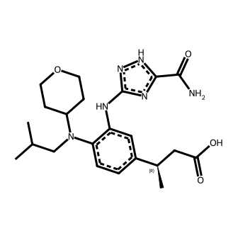 CC(C)CN(c1ccc([C@H](C)CC(=O)O)cc1Nc1n[nH]c(C(N)=O)n1)C1CCOCC1